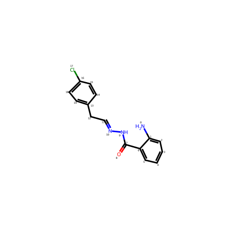 Nc1ccccc1C(=O)NN=CCc1ccc(Cl)cc1